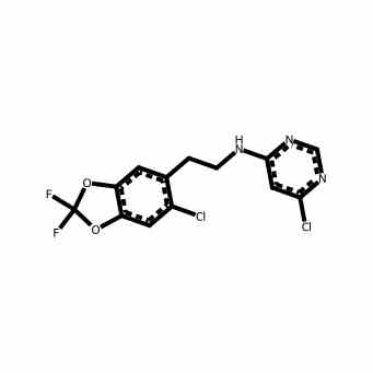 FC1(F)Oc2cc(Cl)c(CCNc3cc(Cl)ncn3)cc2O1